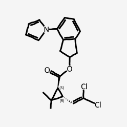 CC1(C)[C@@H](C=C(Cl)Cl)[C@@H]1C(=O)OC1Cc2cccc(-n3cccc3)c2C1